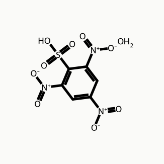 O.O=[N+]([O-])c1cc([N+](=O)[O-])c(S(=O)(=O)O)c([N+](=O)[O-])c1